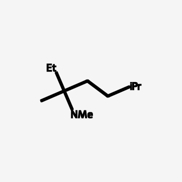 CCC(C)(CCC(C)C)NC